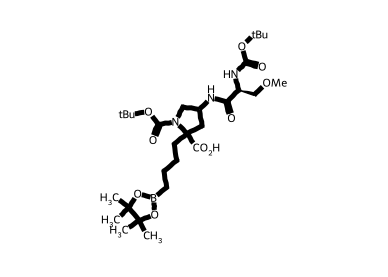 COC[C@H](NC(=O)OC(C)(C)C)C(=O)NC1CN(C(=O)OC(C)(C)C)C(CCCCB2OC(C)(C)C(C)(C)O2)(C(=O)O)C1